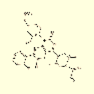 C=CC(=O)N1C[C@H](C)N(c2nc(=O)n(-c3ccc(SOC)cc3C(C)C)c3nc(-c4ccccc4F)c(Cl)cc23)C[C@H]1C